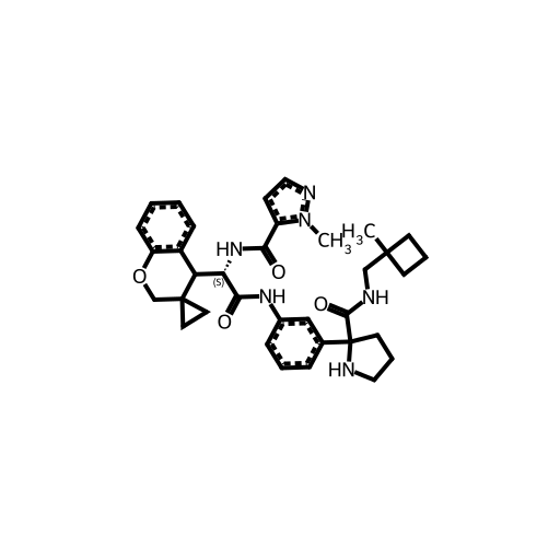 Cn1nccc1C(=O)N[C@H](C(=O)Nc1cccc(C2(C(=O)NCC3(C)CCC3)CCCN2)c1)C1c2ccccc2OCC12CC2